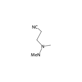 CNN(C)CCC#N